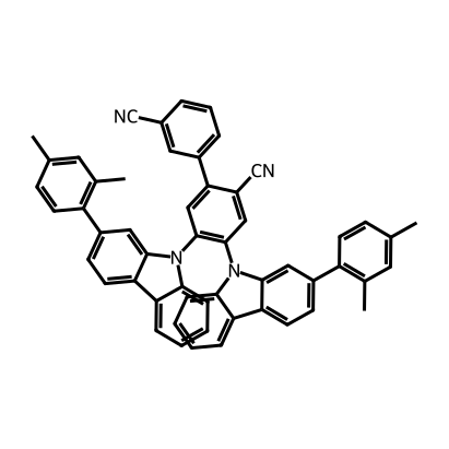 Cc1ccc(-c2ccc3c4ccccc4n(-c4cc(C#N)c(-c5cccc(C#N)c5)cc4-n4c5ccccc5c5ccc(-c6ccc(C)cc6C)cc54)c3c2)c(C)c1